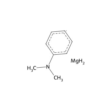 CN(C)c1cc[c]cc1.[MgH2]